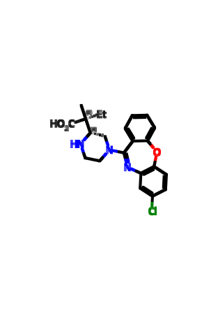 CC[C@@](C)(C(=O)O)[C@@H]1CN(C2=Nc3cc(Cl)ccc3Oc3ccccc32)CCN1